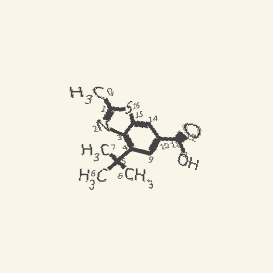 Cc1nc2c(C(C)(C)C)cc(C(=O)O)cc2s1